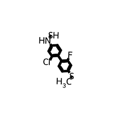 CSc1ccc(-c2ccc(NS)cc2Cl)c(F)c1